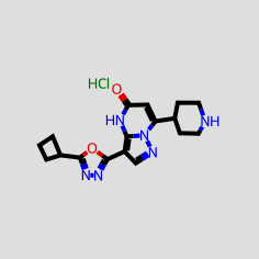 Cl.O=c1cc(C2CCNCC2)n2ncc(-c3nnc(C4CCC4)o3)c2[nH]1